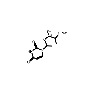 CC[C@H](OC(C)n1ccc(=O)[nH]c1=O)C(C)OC